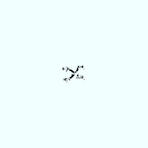 [NH2][Cu]([NH2])([NH2])[NH2]